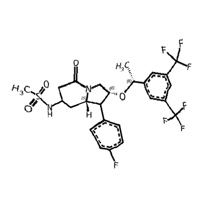 C[C@@H](O[C@H]1CN2C(=O)CC(NS(C)(=O)=O)C[C@H]2C1c1ccc(F)cc1)c1cc(C(F)(F)F)cc(C(F)(F)F)c1